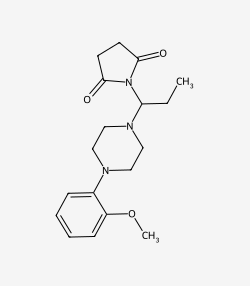 CCC(N1CCN(c2ccccc2OC)CC1)N1C(=O)CCC1=O